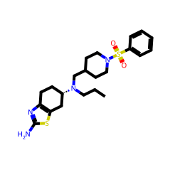 CCCN(CC1CCN(S(=O)(=O)c2ccccc2)CC1)[C@H]1CCc2nc(N)sc2C1